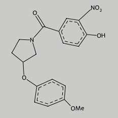 COc1ccc(OC2CCN(C(=O)c3ccc(O)c([N+](=O)[O-])c3)C2)cc1